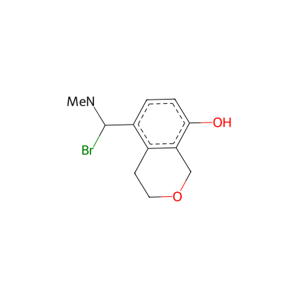 CNC(Br)c1ccc(O)c2c1CCOC2